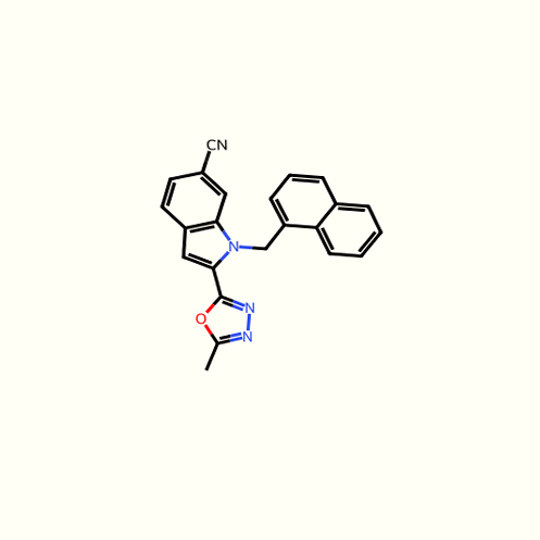 Cc1nnc(-c2cc3ccc(C#N)cc3n2Cc2cccc3ccccc23)o1